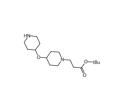 CC(C)(C)OC(=O)CCN1CCC(OC2CCNCC2)CC1